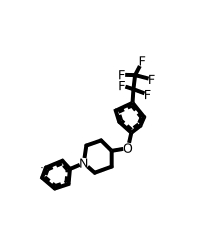 FC(F)(F)C(F)(F)c1ccc(OC2CCN(c3c[c]ccc3)CC2)cc1